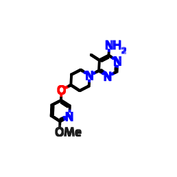 COc1ccc(OC2CCN(c3ncnc(N)c3C)CC2)cn1